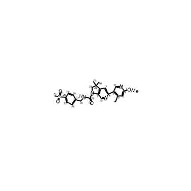 COc1cc(C)c(-c2cc3c(cn2)N(C(=O)NCc2ccc(S(C)(=O)=O)cc2)CC3(C)C)cn1